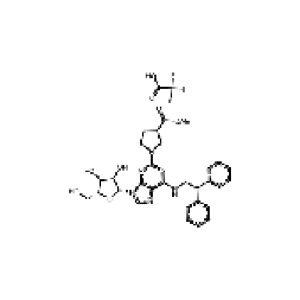 COC(=O)C1CCN(c2nc(NCC(c3ccccc3)c3ccccc3)c3ncn([C@@H]4O[C@H](CO)[C@@H](O)[C@H]4O)c3n2)C1.O=C(O)C(F)(F)F